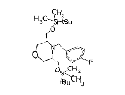 CC(C)(C)[Si](C)(C)OC[C@@H]1COC[C@@H](CO[Si](C)(C)C(C)(C)C)N1Cc1ccc(F)cc1